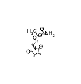 CC(OCCN1C(=O)C=CC1=O)OC(N)=O